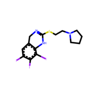 Ic1cc2c(c(I)c1I)NC(SCCN1CCCC1)=NC2